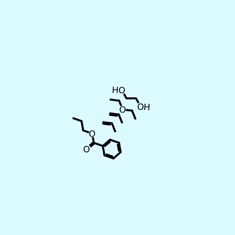 C=CC.C=CC.CCCOC(=O)c1ccccc1.CCOCC.OCCO